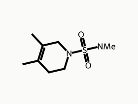 CNS(=O)(=O)N1CCC(C)=C(C)C1